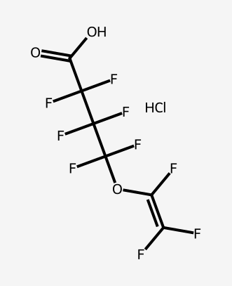 Cl.O=C(O)C(F)(F)C(F)(F)C(F)(F)OC(F)=C(F)F